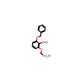 CCOC(=O)COc1cccc(OCc2ccccc2)c1C=O